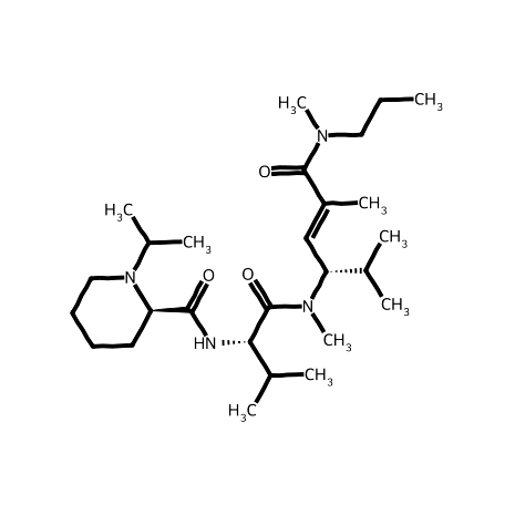 CCCN(C)C(=O)/C(C)=C/[C@H](C(C)C)N(C)C(=O)[C@@H](NC(=O)[C@H]1CCCCN1C(C)C)C(C)C